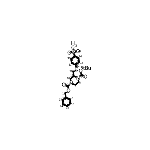 CC(C)(C)OC(=O)N1CCN(C(=O)OCc2ccccc2)CC1COc1ccc(S(C)(=O)=O)cc1